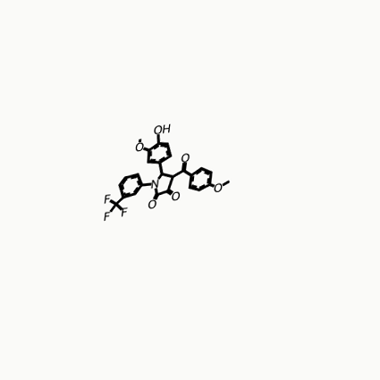 COc1ccc(C(=O)C2C(=O)C(=O)N(c3cccc(C(F)(F)F)c3)C2c2ccc(O)c(OC)c2)cc1